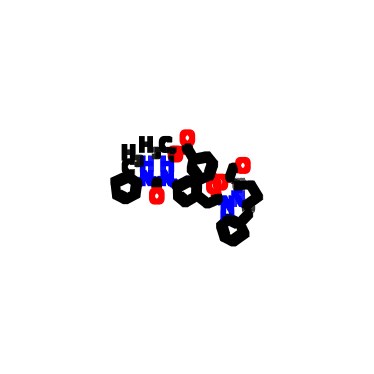 COC(=O)c1ccc(OC(C=O)[C@@H]2CC[C@H](Cc3ccccc3)N2NC(=O)Cc2ccc(NC(=O)Nc3ccccc3C)cc2)cc1